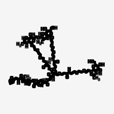 CC(=O)N[C@H]1[C@H](OCCOCCOCCNC(=O)CCOCC(COCCC(=O)NCCOCCOCCOC2O[C@H](CO)[C@H](O)[C@H](O)[C@H]2NC(C)=O)(COCCC(=O)NCCOCCOCCO[C@@H]2O[C@H](CO)[C@H](O)[C@H](O)[C@H]2NC(C)=O)NC(=O)CNC(=O)c2ccc(C(=O)Nc3cnn(C(C)(C)C(=O)NCc4ccco4)c3)cn2)O[C@H](CO)[C@H](O)[C@@H]1O